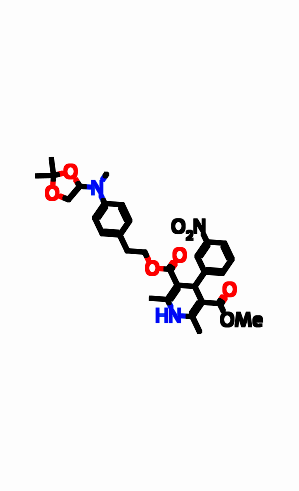 COC(=O)C1=C(C)NC(C)=C(C(=O)OCCc2ccc(N(C)C3COC(C)(C)O3)cc2)C1c1cccc([N+](=O)[O-])c1